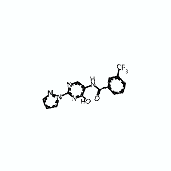 O=C(Nc1cnc(-n2cccn2)nc1O)c1cccc(C(F)(F)F)c1